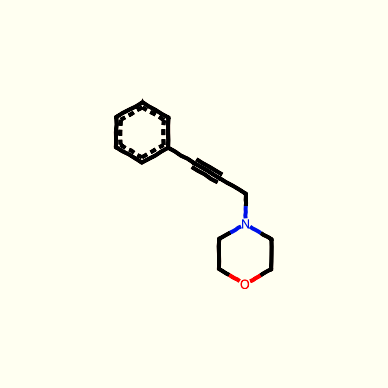 C(#Cc1c[c]ccc1)CN1CCOCC1